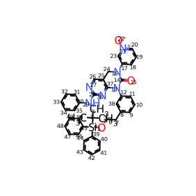 CC(C)(C)[Si](OCCc1cccc(N2C(=O)N(c3ccc[n+]([O-])c3)Cc3cnc(Nc4ccccc4)nc32)c1)(c1ccccc1)c1ccccc1